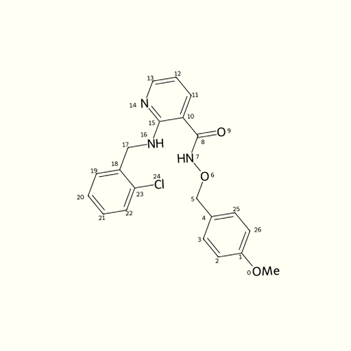 COc1ccc(CONC(=O)c2cccnc2NCc2ccccc2Cl)cc1